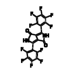 O=C1NC(c2c(F)c(F)c(F)c(F)c2F)=C2C(=O)NC(c3c(F)c(F)c(F)c(F)c3F)=C12